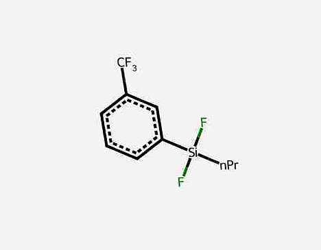 CCC[Si](F)(F)c1cccc(C(F)(F)F)c1